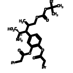 CCC(C)(C)OC(=O)OCC(C)C(c1ccc(OC(=O)CC(C)C)c(OC(=O)CC(C)C)c1)[C@H](N)C(=O)O